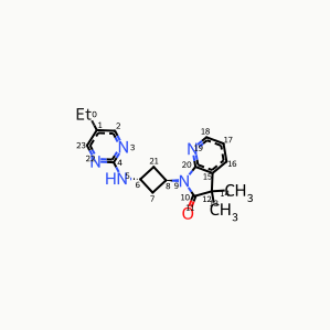 CCc1cnc(N[C@H]2C[C@H](N3C(=O)C(C)(C)c4cccnc43)C2)nc1